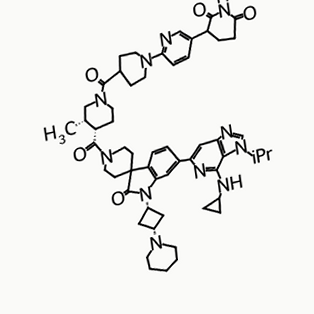 CC(C)n1cnc2cc(-c3ccc4c(c3)N([C@H]3C[C@@H](N5CCCCC5)C3)C(=O)C43CCN(C(=O)[C@H]4CCN(C(=O)C5CCN(c6ccc(C7CCC(=O)NC7=O)cn6)CC5)C[C@H]4C)CC3)nc(NC3CC3)c21